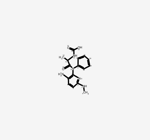 CNc1ccc(N)c(N(C(=O)C(C)NC(=O)O)c2ccccc2)n1